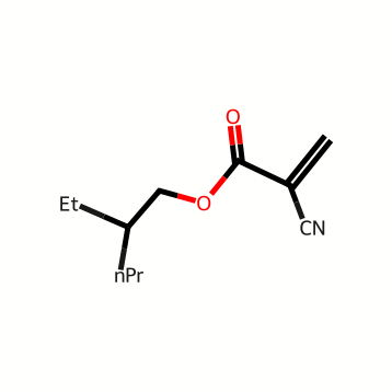 C=C(C#N)C(=O)OCC(CC)CCC